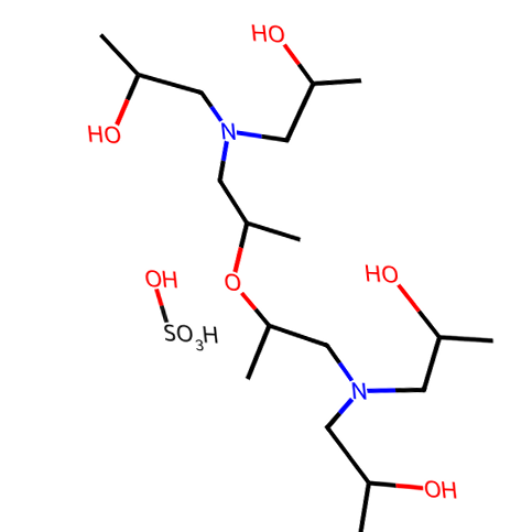 CC(O)CN(CC(C)O)CC(C)OC(C)CN(CC(C)O)CC(C)O.O=S(=O)(O)O